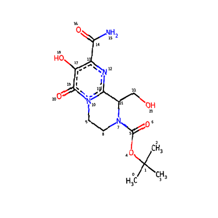 CC(C)(C)OC(=O)N1CCn2c(nc(C(N)=O)c(O)c2=O)C1CO